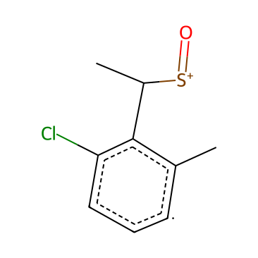 Cc1[c]ccc(Cl)c1C(C)[S+]=O